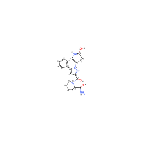 COc1ccc(-n2nc(C(=O)N3CCCCC3C(N)=O)cc2-c2ccccc2)cn1